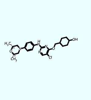 C[C@@H]1CN(c2ccc(Nc3ncc(Cl)c(OCC4CCC(O)CC4)n3)cc2)C[C@H](C)O1